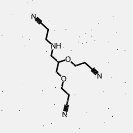 N#CCCNCC(COCCC#N)OCCC#N